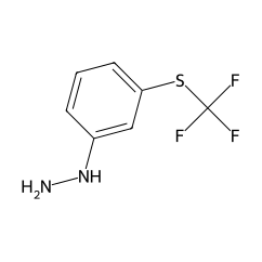 NNc1cccc(SC(F)(F)F)c1